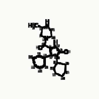 C[C@@H]1CN(C(=O)c2[nH]c(=O)n(C3CCCCC3)c2-c2ccccc2)CCN1